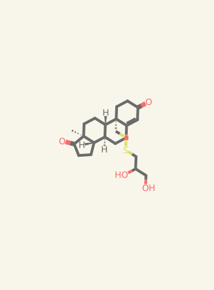 C[C@]12CC[C@H]3[C@@H](CCC4=CC(=O)CC[C@@]43CSSCC(O)CO)[C@@H]1CCC2=O